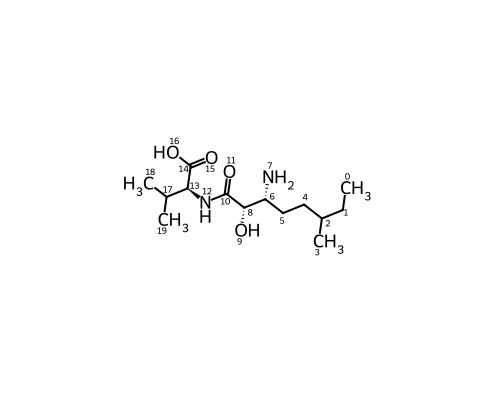 CCC(C)CC[C@@H](N)[C@H](O)C(=O)N[C@H](C(=O)O)C(C)C